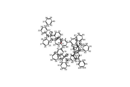 O=P1(c2cccc(-c3cc(-c4cccc(P5(=O)N(c6ccccc6)c6ccccc6N5c5cccc(-c6ccccc6)c5)c4)cc(-c4cccc(P5(=O)N(c6ccccc6)c6ccccc6N5c5cccc(-c6ccccc6)c5)c4)c3)c2)N(c2ccccc2)c2ccccc2N1c1cccc(-c2ccccc2)c1